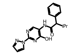 CC(C)C(C(=O)Nc1cnc(-n2cccn2)nc1O)c1ccccc1